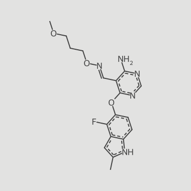 COCCCON=Cc1c(N)ncnc1Oc1ccc2[nH]c(C)cc2c1F